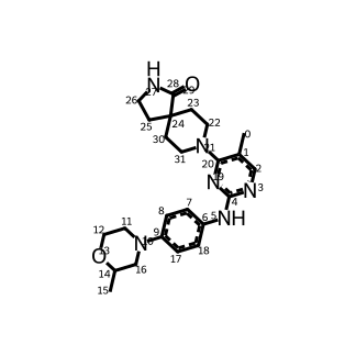 Cc1cnc(Nc2ccc(N3CCOC(C)C3)cc2)nc1N1CCC2(CCNC2=O)CC1